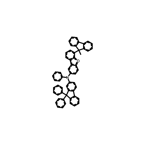 CC1(c2cccc3c2oc2ccc(N(c4ccccc4)c4ccc5c(c4)C(c4ccccc4)(c4ccccc4)c4ccccc4-5)cc23)c2ccccc2-c2ccccc21